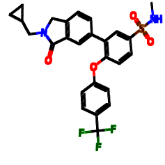 CNS(=O)(=O)c1ccc(Oc2ccc(C(F)(F)F)cc2)c(-c2ccc3c(c2)C(=O)N(CC2CC2)C3)c1